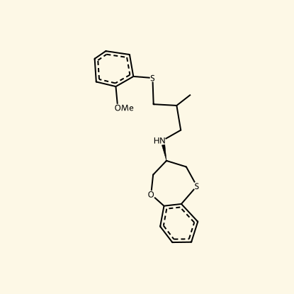 COc1ccccc1SCC(C)CN[C@@H]1COc2ccccc2SC1